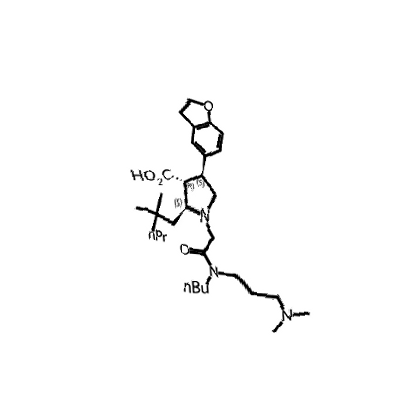 CCCCN(CCCN(C)C)C(=O)CN1C[C@H](c2ccc3c(c2)CCO3)[C@@H](C(=O)O)[C@@H]1CC(C)(C)CCC